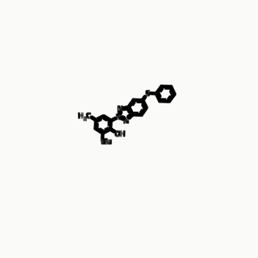 Cc1cc(-n2nc3ccc(Sc4ccccc4)cc3n2)c(O)c(C(C)(C)C)c1